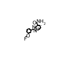 NC(=O)c1[c]ccn2nc(-c3cccc(OCF)c3)nc12